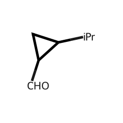 CC(C)C1CC1C=O